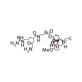 CO[C@]12CC[C@@]3(C[C@@H]1C(C)(C)O)[C@H]1Cc4ccc(OC(=O)N(C)CCNC(=O)[C@H](CCCNC(=N)N)CC(=O)CN)c5c4[C@@]3(CC[N+]1(C)CC1CC1)[C@H]2O5